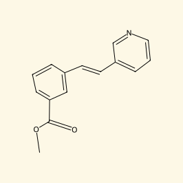 COC(=O)c1cccc(/C=C/c2cccnc2)c1